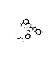 COc1ccc2c(c1)CC(C(Cc1cccc(C(=N)N)c1)NS(=O)(=O)c1cccc(N(C)CCN)c1)=N2